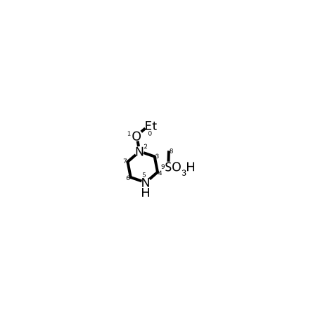 CCON1CCNCC1.CS(=O)(=O)O